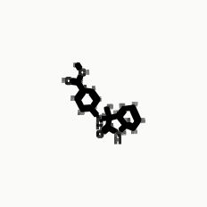 COC(=O)c1ccc(NC2(C)C(=O)Nc3ccccc32)cc1